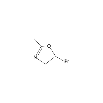 CC1=NCC(C(C)C)O1